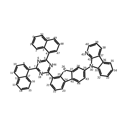 c1ccc2c(-c3nc(-c4cccc5ccccc45)nc(-c4cccc5c4sc4cc(-n6c7ccccc7c7cccnc76)ccc45)n3)cccc2c1